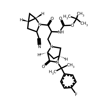 CC(C)(C)OC(=O)NC(CN1C[C@@H]2C[C@H]1C(=O)N2C(C)(C)c1ccc(F)cc1)C(=O)N1C(C#N)C[C@@H]2C[C@@H]21